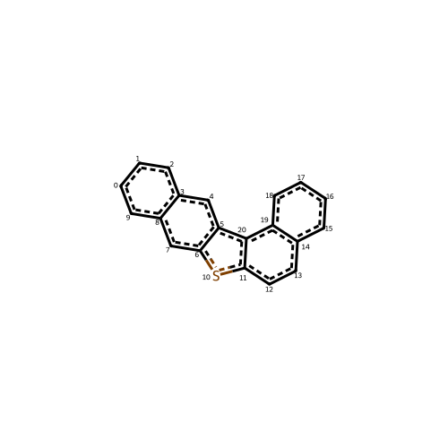 c1ccc2cc3c(cc2c1)sc1ccc2ccccc2c13